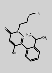 COCCn1nc(-c2ccccc2C(C)C)c(N)cc1=O